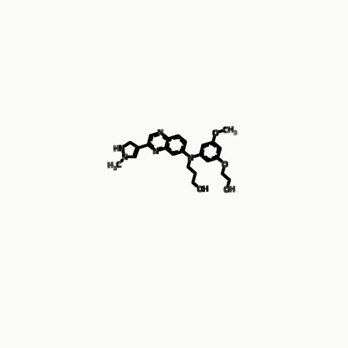 COc1cc(OCCO)cc(N(CCCO)c2ccc3ncc(C4=CN(C)NC4)nc3c2)c1